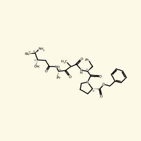 CC[C@H](C)[C@@H](N)[C@@H](O)CC(=O)N[C@H](C(=O)C(C)C(=O)N[C@@H](CC(C)C)C(=O)N1CCC[C@H]1C(=O)OCc1ccccc1)C(C)C